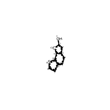 Oc1cc2ccc3ccsc3c2o1